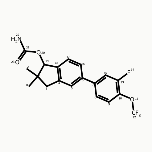 CC1(C)Cc2cc(-c3ccc(OC(F)(F)F)c(F)c3)ccc2C1OC(N)=O